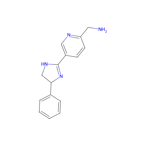 NCc1ccc(C2=NC(c3ccccc3)CN2)cn1